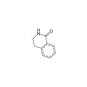 O=C1N[CH]Cc2ccccc21